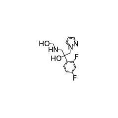 OCNCC(O)(Cn1cccn1)c1ccc(F)cc1F